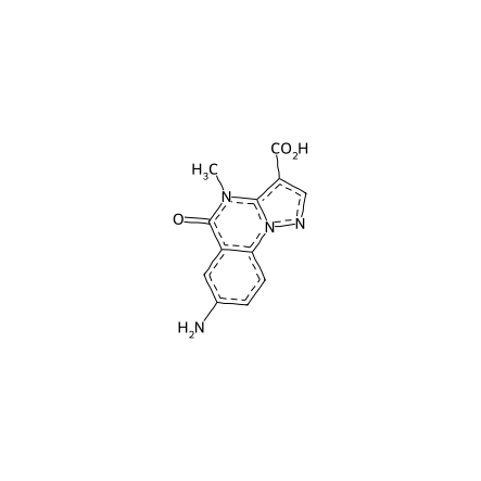 Cn1c(=O)c2cc(N)ccc2n2ncc(C(=O)O)c12